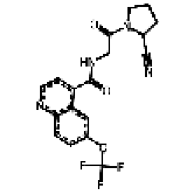 N#CC1CCCN1C(=O)CNC(=O)c1ccnc2ccc(OC(F)(F)F)cc12